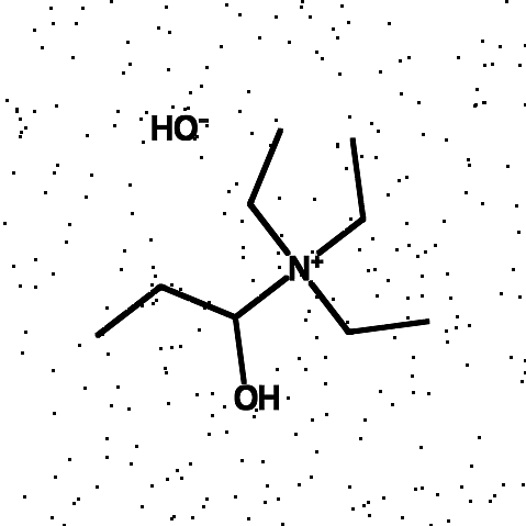 CCC(O)[N+](CC)(CC)CC.[OH-]